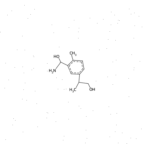 Cc1ccc(C(C)CO)cc1C(N)O